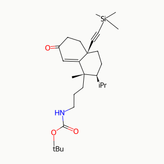 CC(C)[C@@H]1CC[C@@]2(C#C[Si](C)(C)C)CCC(=O)C=C2[C@@]1(C)CCCNC(=O)OC(C)(C)C